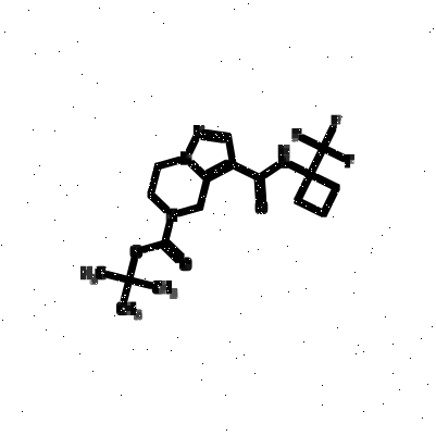 CC(C)(C)OC(=O)N1CCn2ncc(C(=O)NC3(C(F)(F)F)CCC3)c2C1